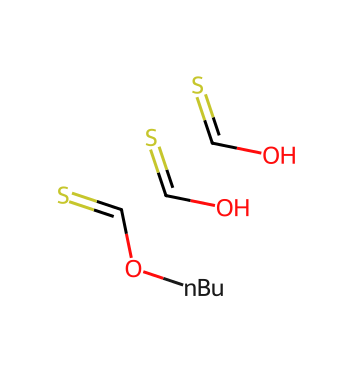 CCCCOC=S.OC=S.OC=S